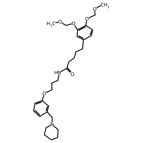 COCOc1ccc(CCCCC(=O)NCCCOc2cccc(CN3CCCCC3)c2)cc1OCOC